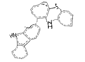 [c]1c(-c2cccc3c2Nc2ccccc2S3)ccc2c1[nH]c1ccccc12